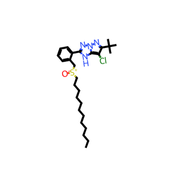 CCCCCCCCCCCC[S+]([O-])Cc1ccccc1-c1nn2nc(C(C)(C)C)c(Cl)c2[nH]1